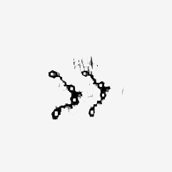 CCn1c2ccc(C(=O)CCCN3CCCCC3)cc2c2cc(C(=O)CCCN3CCCCC3)ccc21.CCn1c2ccc(C(=O)CCCN3CCCCC3)cc2c2cc(C(=O)CCCN3CCCCC3)ccc21.Cl.Cl.Cl.Cl.O